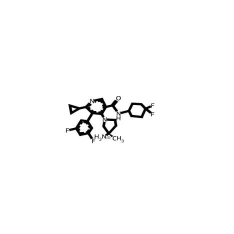 C[C@]1(N)CCN(c2c(C(=O)NC3CCC(F)(F)CC3)cnc(C3CC3)c2-c2cc(F)cc(F)c2)C1